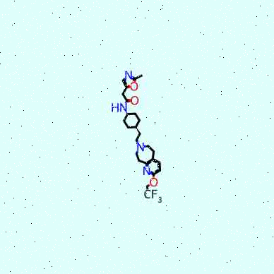 Cc1ncc(CC(=O)N[C@H]2CC[C@H](CCN3CCc4ccc(OCC(F)(F)F)nc4CC3)CC2)o1